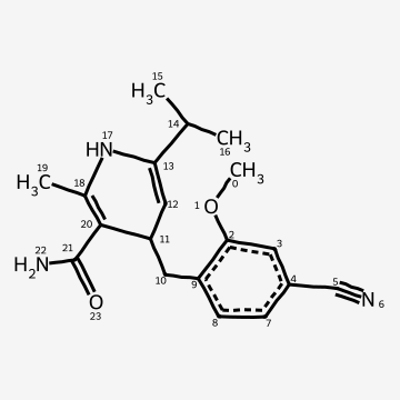 COc1cc(C#N)ccc1CC1C=C(C(C)C)NC(C)=C1C(N)=O